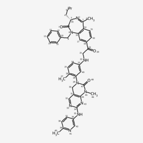 CC1=N[C@@H](CC(C)C)C(=O)N(Cc2ccccc2)c2cc(C(=O)CNc3ccc(C)c(N4Cc5cnc(Nc6ccc(C)nc6)nc5N(C)C4=O)c3)ccc21